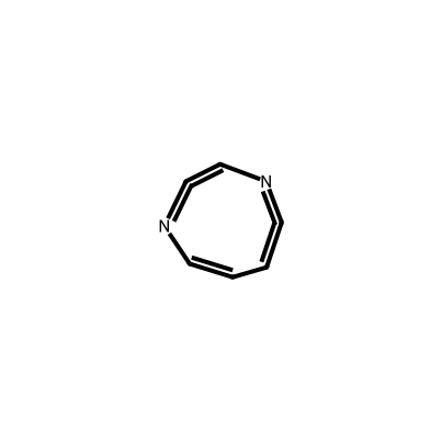 C1=C/C=C\N=C=CN=1